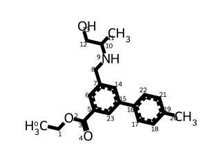 CCOC(=O)c1cc(CNC(C)CO)cc(-c2ccc(C)cc2)c1